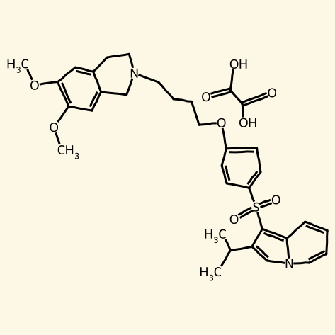 COc1cc2c(cc1OC)CN(CCCCOc1ccc(S(=O)(=O)c3c(C(C)C)cn4ccccc34)cc1)CC2.O=C(O)C(=O)O